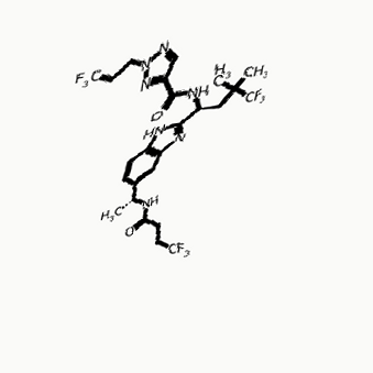 C[C@@H](NC(=O)CCC(F)(F)F)c1ccc2[nH]c([C@H](CC(C)(C)C(F)(F)F)NC(=O)c3cnn(CCC(F)(F)F)n3)nc2c1